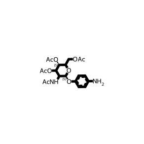 CC(=O)NC1C(OC(C)=O)[C@H](OC(C)=O)C(COC(C)=O)O[C@H]1Oc1ccc(N)cc1